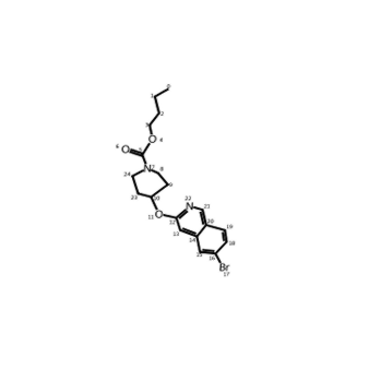 CCCCOC(=O)N1CCC(Oc2cc3cc(Br)ccc3cn2)CC1